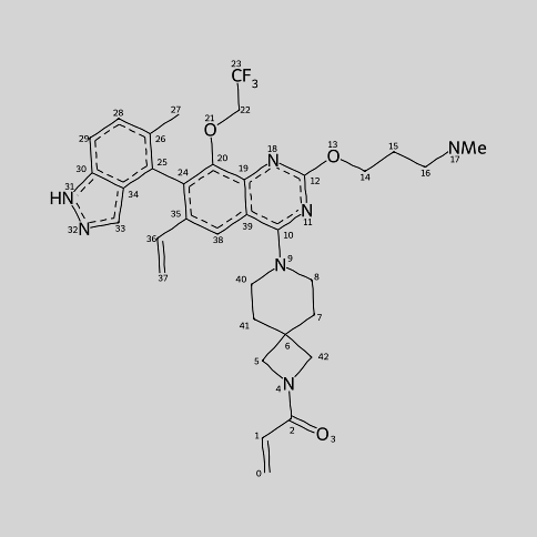 C=CC(=O)N1CC2(CCN(c3nc(OCCCNC)nc4c(OCC(F)(F)F)c(-c5c(C)ccc6[nH]ncc56)c(C=C)cc34)CC2)C1